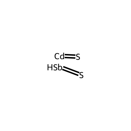 [S]=[Cd].[S]=[SbH]